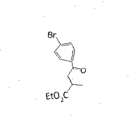 CCOC(=O)C(C)CC(=O)c1ccc(Br)cc1